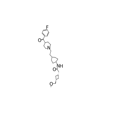 COC[C@H]1C[C@H](CC(=O)NC2CCC(CCN3CCC(C(=O)c4ccc(F)cc4)CC3)CC2)C1